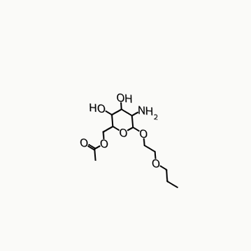 CCCOCCOC1OC(COC(C)=O)C(O)C(O)C1N